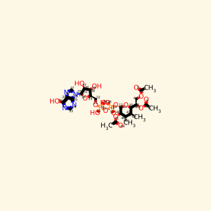 CC(=O)OC[C@@H](OC(C)=O)C1O[C@@H](OP(=O)(O)OP(=O)(O)OC[C@H]2O[C@@H](n3cnc4c(O)ncnc43)[C@@H](O)C2O)C(OC(C)=O)[C@@H](C)[C@@H]1C